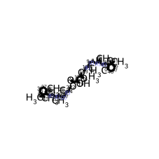 CC1=C(/C=C/C(C)=C/C=C\C(C)=C\COC(=O)CC(O)C(=O)OC/C=C(C)/C=C\C=C(C)\C=C\C2=C(C)CCCC2(C)C)C(C)(C)CCC1